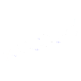 CS(=O)(=O)Nc1cccc(Nc2cc3[nH]c(-c4cccc(F)c4)cc3cn2)c1